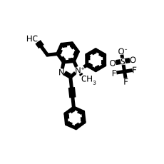 C#CCc1cccc2c1N=C(C#Cc1ccccc1)[N+]2(C)c1ccccc1.O=S(=O)([O-])C(F)(F)F